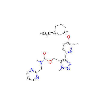 Cc1nc(-c2nnn(C)c2COC(=O)N(C)Cc2ncccn2)ccc1O[C@H]1CCC[C@H](C(=O)O)C1